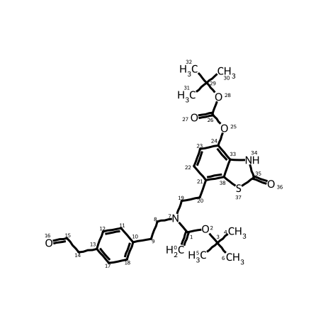 C=C(OC(C)(C)C)N(CCc1ccc(CC=O)cc1)CCc1ccc(OC(=O)OC(C)(C)C)c2[nH]c(=O)sc12